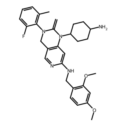 C=C1N(c2c(C)cccc2F)Cc2cnc(NCc3ccc(OC)cc3OC)cc2N1C1CCC(N)CC1